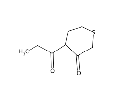 CCC(=O)C1CCSCC1=O